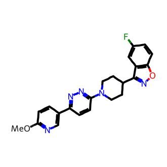 COc1ccc(-c2ccc(N3CCC(c4noc5ccc(F)cc45)CC3)nn2)cn1